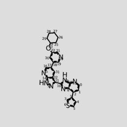 c1cc(-c2ccsc2)c2nc(-c3n[nH]c4ncc(-c5cncc(OC6CCCCC6)c5)cc34)[nH]c2n1